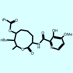 CCCCC1C(C)OC(=O)C(NC(=O)c2nccc(OC)c2O)CCCC1OC(=O)C(C)C